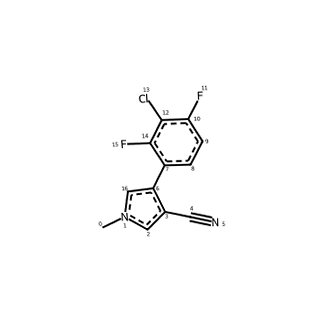 Cn1cc(C#N)c(-c2ccc(F)c(Cl)c2F)c1